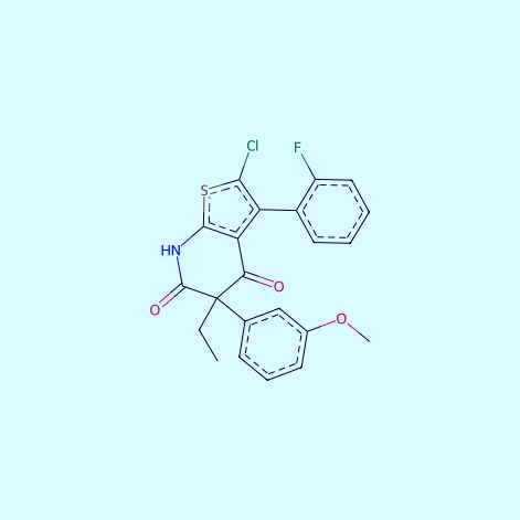 CCC1(c2cccc(OC)c2)C(=O)Nc2sc(Cl)c(-c3ccccc3F)c2C1=O